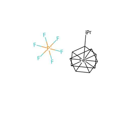 CC(C)[C]12[CH]3[CH]4[CH]5[CH]1[Fe]45321678[CH]2[CH]1[CH]6[CH]7[CH]28.F[P-](F)(F)(F)(F)F